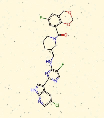 O=C(c1cc(F)cc2c1OCOC2)N1CCC[C@H](CNc2nc(-c3c[nH]c4ncc(Cl)cc34)ncc2F)C1